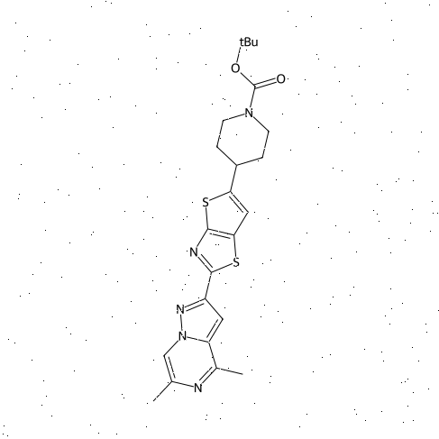 Cc1cn2nc(-c3nc4sc(C5CCN(C(=O)OC(C)(C)C)CC5)cc4s3)cc2c(C)n1